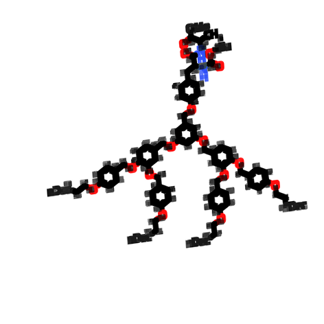 CCCCCCCCCCCCOc1ccc(COc2ccc(COc3cc(COc4ccc(CC(NC(=O)OC(C)(C)C)C(=O)NC(C)C(=O)OC)cc4)cc(OCc4ccc(OCc5ccc(OCCCCCCCCCCCC)cc5)c(OCc5ccc(OCCCCCCCCCCCC)cc5)c4)c3)cc2OCc2ccc(OCCCCCCCCCCCC)cc2)cc1